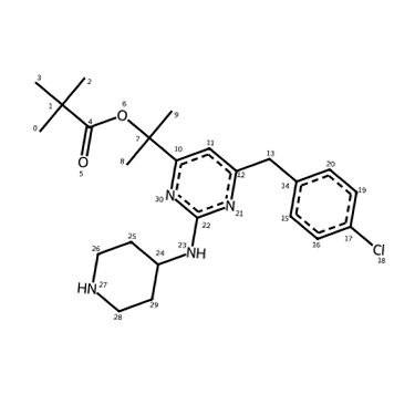 CC(C)(C)C(=O)OC(C)(C)c1cc(Cc2ccc(Cl)cc2)nc(NC2CCNCC2)n1